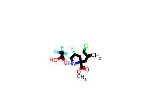 C=C(CCl)CC1(C(=O)OC)C[C@H](F)CN1.O=C(O)C(F)(F)F